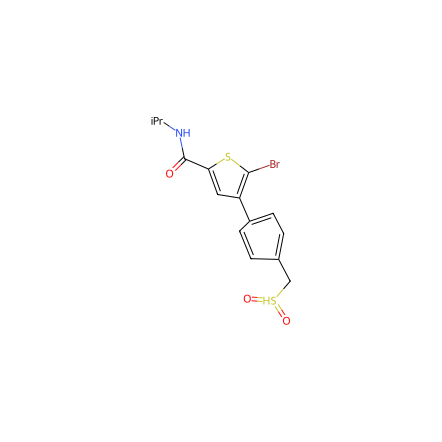 CC(C)NC(=O)c1cc(-c2ccc(C[SH](=O)=O)cc2)c(Br)s1